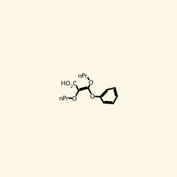 CCCOC(Oc1ccccc1)=C(OCCC)C(=O)O